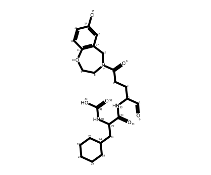 O=CC(CCC(=O)N1CCOc2ccc(Cl)cc2C1)NC(=O)C(CC1CCCCC1)NC(=O)O